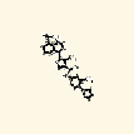 O=C(Nc1ccc(-n2cccn2)c(C(F)(F)F)c1)c1cnn(-c2ccc3c4c(cccc24)C(=O)N3)c1C(F)(F)F